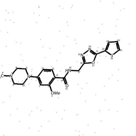 COc1cc(N2CCN(C)CC2)ccc1C(=O)NCc1nnc(-c2cccs2)o1